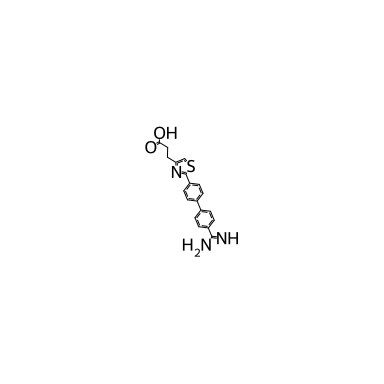 N=C(N)c1ccc(-c2ccc(-c3nc(CCC(=O)O)cs3)cc2)cc1